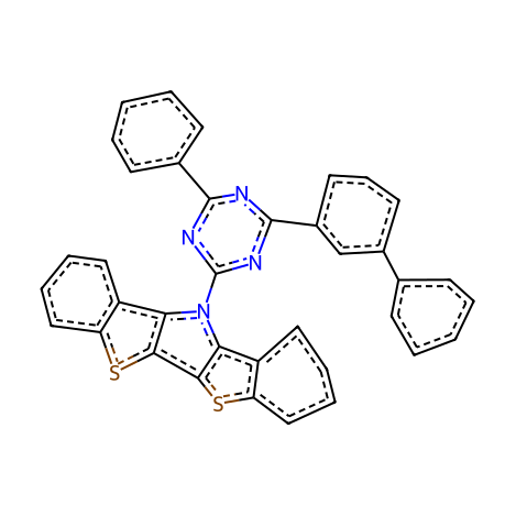 c1ccc(-c2cccc(-c3nc(-c4ccccc4)nc(-n4c5c6ccccc6sc5c5sc6ccccc6c54)n3)c2)cc1